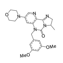 COc1cc(CN2C(=O)N3C(=NCC3C)c3ncc(N4CCOCC4)cc32)cc(OC)c1